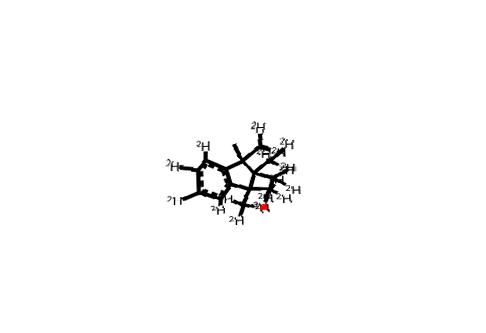 [2H]c1c([2H])c([2H])c2c(c1[2H])C(C)(C([2H])[2H])C(C([2H])([2H])[2H])(C([2H])([2H])[2H])C2(C([2H])([2H])[2H])C([2H])([2H])[2H]